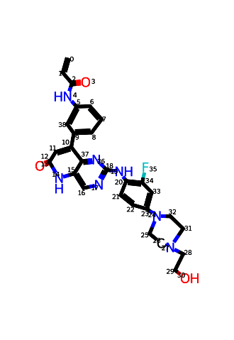 C=CC(=O)Nc1cccc(-c2cc(=O)[nH]c3cnc(Nc4ccc(N5CCN(CCO)CC5)cc4F)nc23)c1